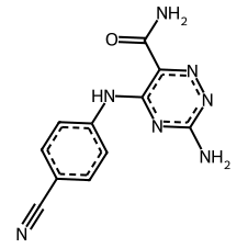 N#Cc1ccc(Nc2nc(N)nnc2C(N)=O)cc1